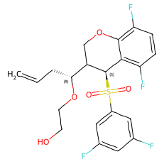 C=CC[C@@H](OCCO)C1COc2c(F)ccc(F)c2[C@H]1S(=O)(=O)c1cc(F)cc(F)c1